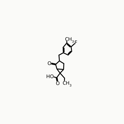 CCC1(C(=O)O)C2CC(Cc3ccc(F)c(C)c3)C(=O)C21